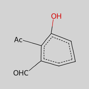 CC(=O)c1c(O)cccc1C=O